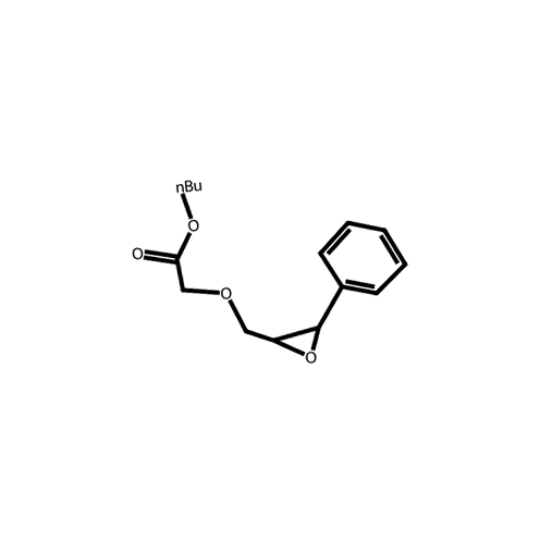 CCCCOC(=O)COCC1OC1c1ccccc1